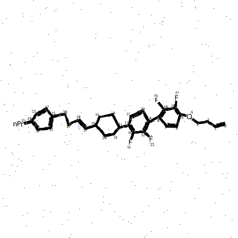 C=CCCOc1ccc(-c2ccc(C3CCC(/C=C/CCc4ccc(CCC)cc4)CC3)c(F)c2F)c(F)c1F